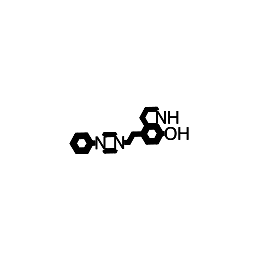 Oc1ccc(CCN2CCN(c3ccccc3)CC2)c2c1NCCC2